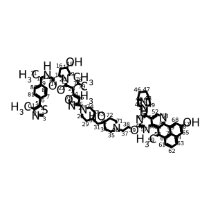 Cc1ncsc1-c1ccc([C@H](C)NC(=O)[C@@H]2C[C@@H](O)CN2C(=O)[C@H](c2cc(N3CCC(CC4(O)CCN(CCOc5nc(N6CC7CCC(C6)N7)c6cnc7c(c6n5)C(C)c5cccc6cc(O)cc-7c56)CC4)CC3)no2)C(C)C)cc1